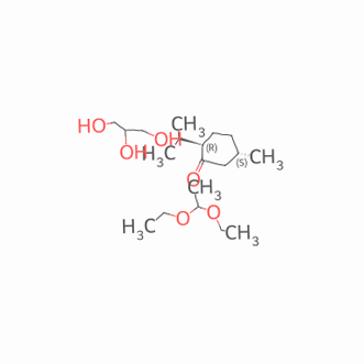 CC(C)[C@H]1CC[C@H](C)CC1=O.CCOC(C)OCC.OCC(O)CO